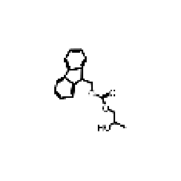 CC(O)COC(=O)OCC1c2ccccc2-c2ccccc21